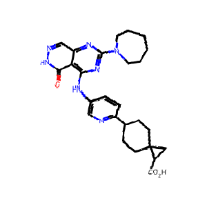 O=C(O)C1CC12CCC(c1ccc(Nc3nc(N4CCCCCC4)nc4cn[nH]c(=O)c34)cn1)CC2